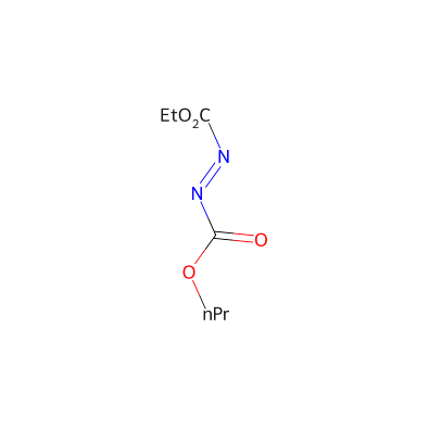 CCCOC(=O)N=NC(=O)OCC